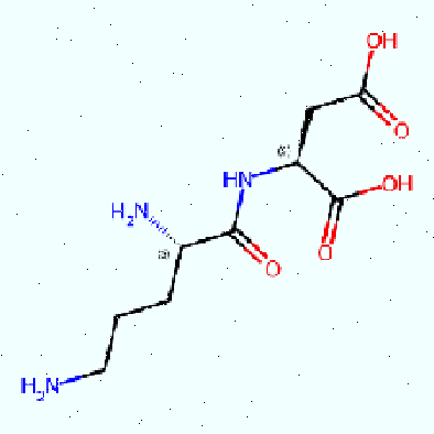 NCCC[C@H](N)C(=O)N[C@@H](CC(=O)O)C(=O)O